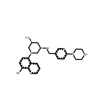 C[C@H]1C[C@@H](NCc2ccc(N3CCNCC3)nc2)CN(c2ccc(C#N)c3ncccc23)C1